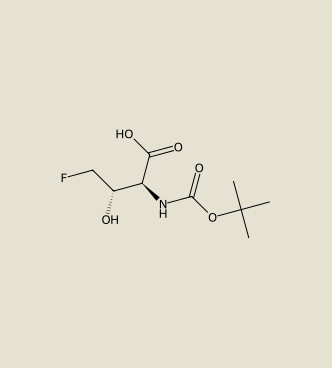 CC(C)(C)OC(=O)N[C@H](C(=O)O)[C@H](O)CF